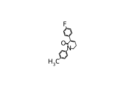 Cc1ccc(N2CCC=C(c3ccc(F)cc3)C2=O)cc1